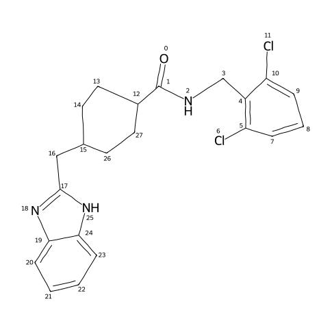 O=C(NCc1c(Cl)cccc1Cl)C1CCC(Cc2nc3ccccc3[nH]2)CC1